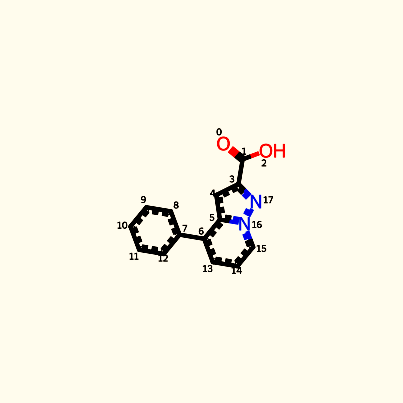 O=C(O)c1cc2c(-c3ccccc3)cccn2n1